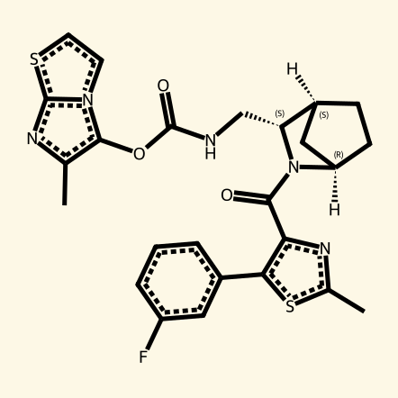 Cc1nc(C(=O)N2[C@@H]3CC[C@@H](C3)[C@H]2CNC(=O)Oc2c(C)nc3sccn23)c(-c2cccc(F)c2)s1